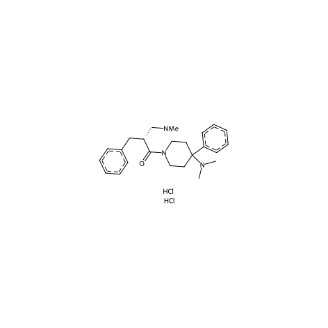 CNC[C@@H](Cc1ccccc1)C(=O)N1CCC(c2ccccc2)(N(C)C)CC1.Cl.Cl